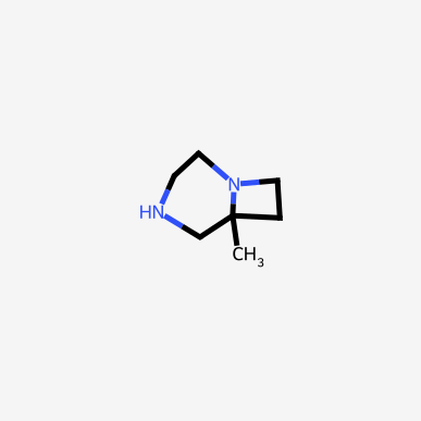 CC12CCN1CCNC2